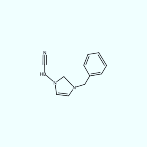 N#CBN1C=CN(Cc2ccccc2)C1